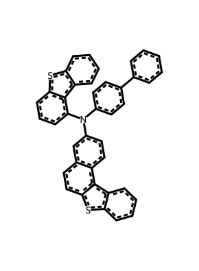 c1ccc(-c2ccc(N(c3ccc4c(ccc5sc6ccccc6c54)c3)c3cccc4sc5ccccc5c34)cc2)cc1